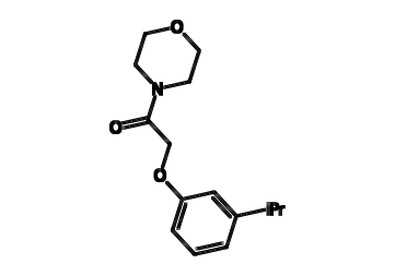 CC(C)c1cccc(OCC(=O)N2CCOCC2)c1